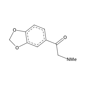 CNCC(=O)c1ccc2c(c1)OCO2